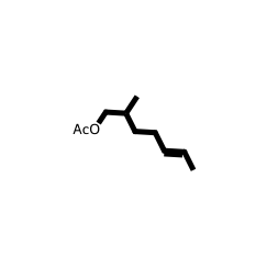 CC=CCCC(C)COC(C)=O